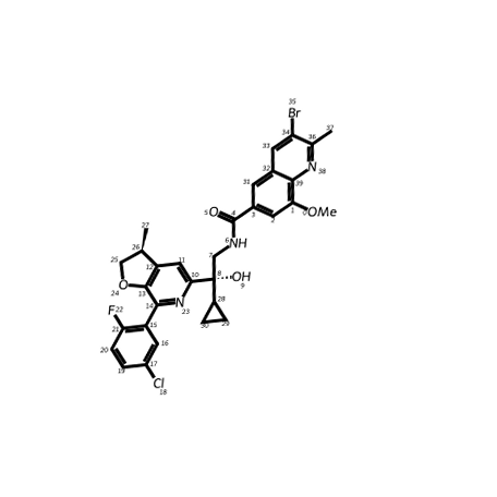 COc1cc(C(=O)NC[C@](O)(c2cc3c(c(-c4cc(Cl)ccc4F)n2)OC[C@H]3C)C2CC2)cc2cc(Br)c(C)nc12